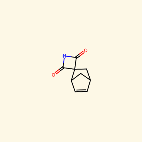 O=C1[N]C(=O)C12CC1C=CC2C1